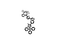 Cc1nn(C(c2ccccc2)(c2ccccc2)C2C=CC=CC2)cc1-c1ccc2ncc(-c3ccc(C(=O)N4CCC[C@H]4C(N)=O)s3)n2c1